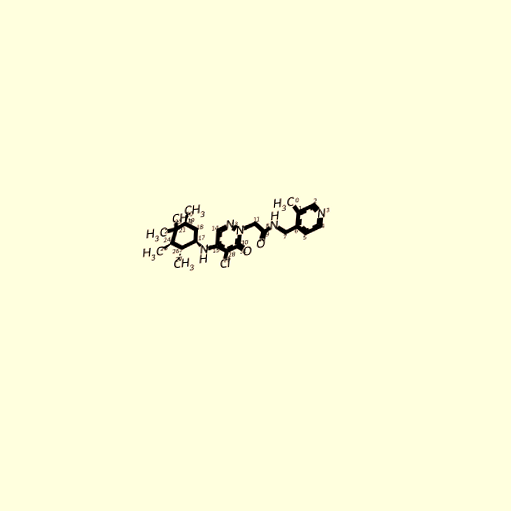 Cc1cnccc1CNC(=O)Cn1ncc(N[C@@H]2C[C@H](C)C(C)(C)[C@H](C)[C@H]2C)c(Cl)c1=O